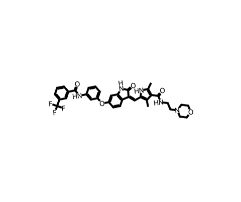 Cc1[nH]c(C=C2C(=O)Nc3cc(Oc4cccc(NC(=O)c5cccc(C(F)(F)F)c5)c4)ccc32)c(C)c1C(=O)NCCN1CCOCC1